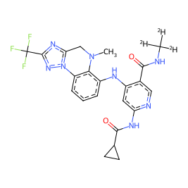 [2H]C([2H])([2H])NC(=O)c1cnc(NC(=O)C2CC2)cc1Nc1cccc2c1N(C)Cc1nc(C(F)(F)F)nn1-2